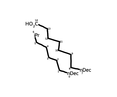 CCCCCCCCCCCCCCCC(C)C.CCCCCCCCCCCCCCCCC(=O)O